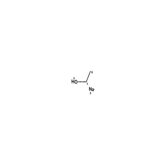 CCO.[Na]